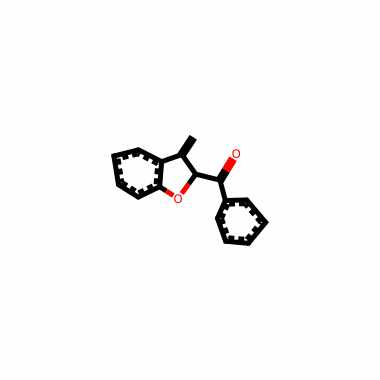 C=C1c2ccccc2OC1C(=O)c1ccccc1